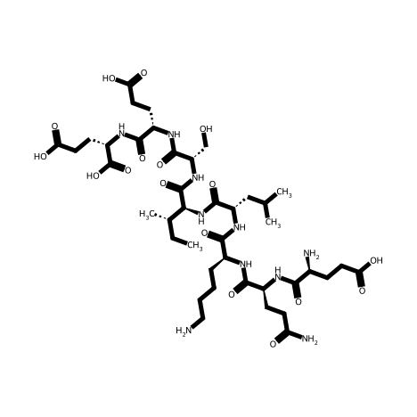 CC[C@H](C)[C@H](NC(=O)[C@H](CC(C)C)NC(=O)[C@H](CCCCN)NC(=O)[C@H](CCC(N)=O)NC(=O)[C@@H](N)CCC(=O)O)C(=O)N[C@@H](CO)C(=O)N[C@@H](CCC(=O)O)C(=O)N[C@@H](CCC(=O)O)C(=O)O